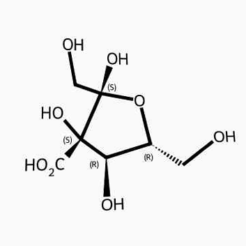 O=C(O)[C@]1(O)[C@H](O)[C@@H](CO)O[C@@]1(O)CO